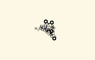 C/C(O[Si](C)(C)C)=C(/C(=O)OC(c1ccccc1)c1ccccc1)N1C(=O)C(NC(=O)COc2ccccc2)C1SS(=O)(=O)c1ccc(C)cc1